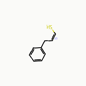 S/C=C\Cc1ccccc1